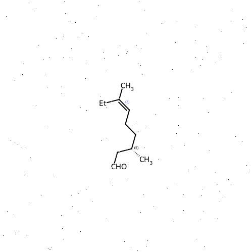 CC/C(C)=C\CC[C@H](C)CC=O